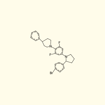 Fc1cc(N2CCCC2c2ccc(Br)cc2)cc(F)c1N1CCC(c2ccccc2)CC1